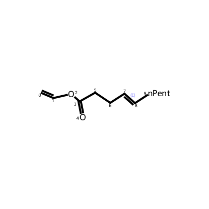 C=COC(=O)CC/C=C/CCCCC